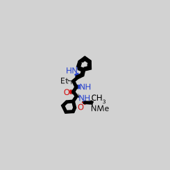 CC[C@@H](C(=N)C(=O)[C@@H](NC(=O)[C@H](C)NC)C1CCCCC1)c1cc2ccccc2[nH]1